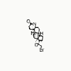 CN1C(=O)C=C[C@@]2(C)C1CC[C@H]1[C@@H]3CC[C@H](C(=O)CBr)[C@@]3(C)CC[C@@H]12